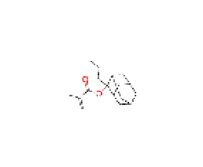 C=C(C)C(=O)OC1(CCC)C2CC3CC(C2)CC1C3